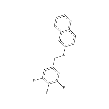 Fc1cc(C[CH]c2ccc3ccccc3c2)cc(F)c1F